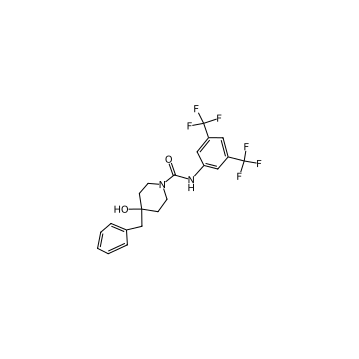 O=C(Nc1cc(C(F)(F)F)cc(C(F)(F)F)c1)N1CCC(O)(Cc2ccccc2)CC1